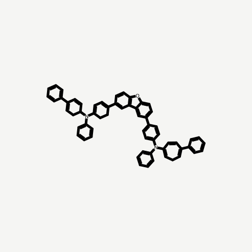 C1=CC(N(c2ccccc2)c2ccc(-c3ccc4oc5ccc(C6=CC=C(N(c7ccccc7)C7C=CC(c8ccccc8)=CC7)CC6)cc5c4c3)cc2)=CCC=C1c1ccccc1